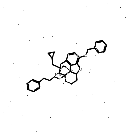 c1ccc(CCCOC23CCCC4Oc5c(OCc6ccccc6)ccc6c5[C@@]42CCN(CC2CC2)[C@@H]3C6)cc1